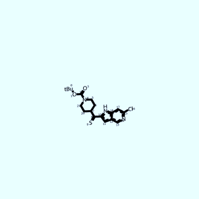 CC(C)(C)OC(=O)N1CCC(C(=S)c2cc3cnc(Cl)cc3[nH]2)CC1